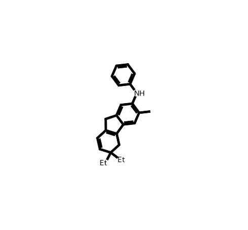 CCC1(CC)C=CC2=C(C1)c1cc(C)c(Nc3ccccc3)cc1C2